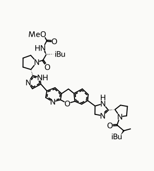 CC[C@H](C)C(C)C(=O)N1CCC[C@H]1C1=NCC(c2ccc3c(c2)Oc2ncc(-c4cnc([C@@H]5CCCN5C(=O)[C@@H](NC(=O)OC)[C@@H](C)CC)[nH]4)cc2C3)N1